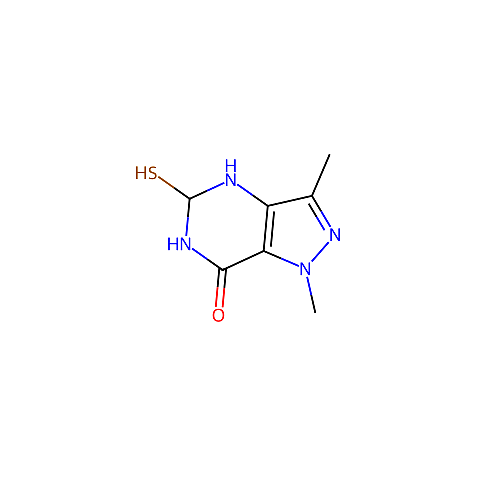 Cc1nn(C)c2c1NC(S)NC2=O